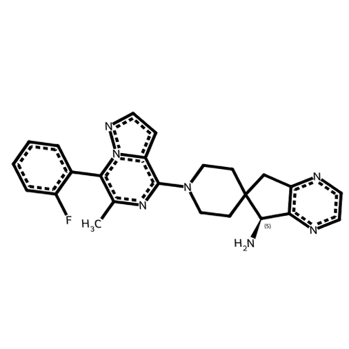 Cc1nc(N2CCC3(CC2)Cc2nccnc2[C@H]3N)c2ccnn2c1-c1ccccc1F